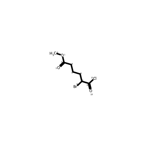 COC(=O)CCCC(Br)C(=O)Cl